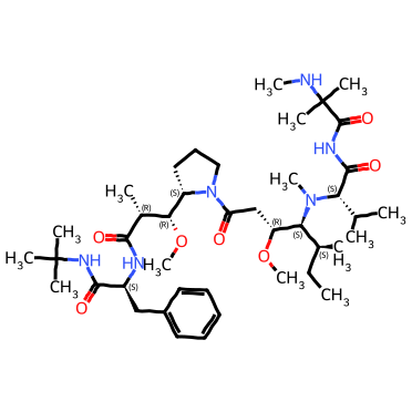 CC[C@H](C)[C@@H]([C@@H](CC(=O)N1CCC[C@H]1[C@H](OC)[C@@H](C)C(=O)N[C@@H](Cc1ccccc1)C(=O)NC(C)(C)C)OC)N(C)[C@H](C(=O)NC(=O)C(C)(C)NC)C(C)C